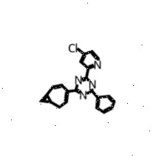 Clc1ccnc(-c2nc(C3=CCC4C=C4C=C3)nc(-c3ccccc3)n2)c1